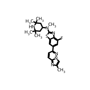 Cc1cn2nc(-c3cc(F)c4nc(N(C)C5CC(C)(C)NC(C)(C)C5)sc4c3)ccc2n1